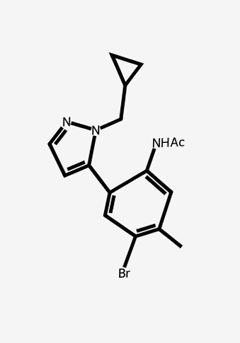 CC(=O)Nc1cc(C)c(Br)cc1-c1ccnn1CC1CC1